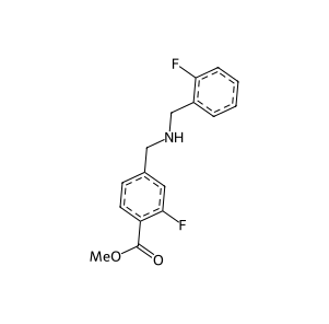 COC(=O)c1ccc(CNCc2ccccc2F)cc1F